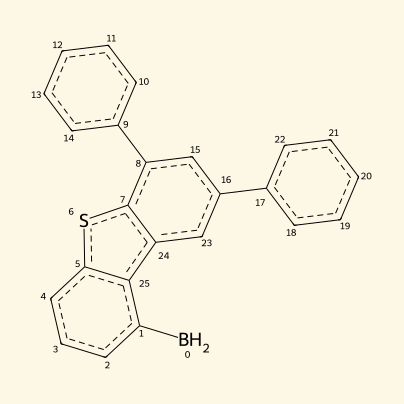 Bc1cccc2sc3c(-c4ccccc4)cc(-c4ccccc4)cc3c12